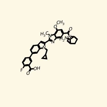 COc1cc(C(=O)N2CC3CCC2C3N)cc2nc(-c3cc4ccc(-c5ccc(F)c(C(=O)O)c5)cc4n3CC3CC3)n(C)c12